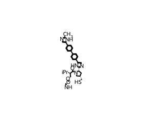 Cc1ncc(-c2ccc(-c3ccc(-c4cnc([C@@H]5C[C@H](CS)CN5C(=O)[C@@H](COOC=N)C(C)C)[nH]4)cc3)cc2)[nH]1